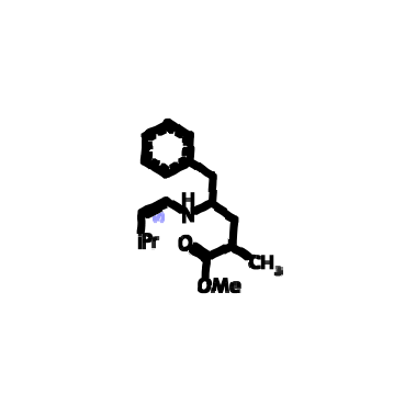 COC(=O)C(C)CC(Cc1ccccc1)N/C=C\C(C)C